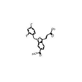 O=C(O)C=Cc1nn(Cc2ccc(F)cc2F)c2cc(C(=O)O)ccc12